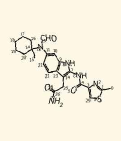 Cc1nc(C(=O)Nc2[nH]c3cc(N(C=O)C4(C)CCCCC4)ccc3c2CC(N)=O)cs1